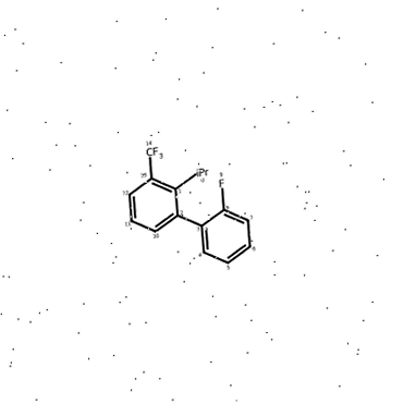 CC(C)c1c(-c2ccccc2F)cccc1C(F)(F)F